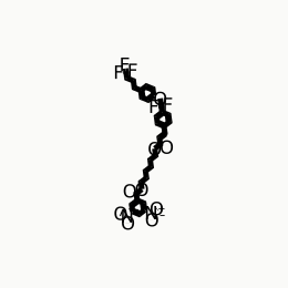 O=C(/C=C/c1ccc(C(F)(F)Oc2ccc(CCCC(F)(F)F)cc2)cc1)OCCCCCCOC(=O)c1cc([N+](=O)[O-])cc([N+](=O)[O-])c1